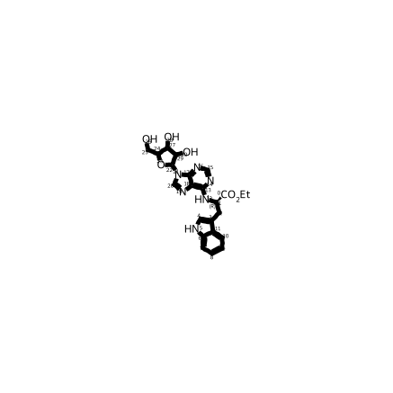 CCOC(=O)[C@@H](Cc1c[nH]c2ccccc12)Nc1ncnc2c1ncn2C1OC(CO)C(O)C1O